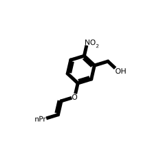 CCCC=COc1ccc([N+](=O)[O-])c(CO)c1